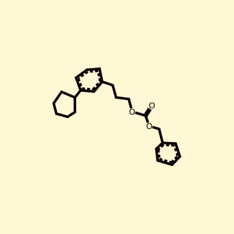 O=C(OCCCc1cccc(C2CCCCC2)c1)OCc1ccccc1